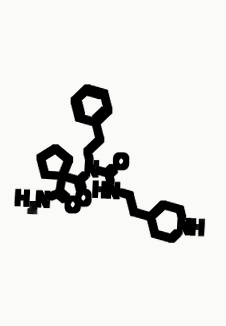 NC(=O)C1(C(=O)N(CCc2ccccc2)C(=O)NCCC2CCNCC2)CCCC1